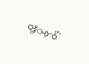 Cc1ccccc1Cc1csc(N2CCC(S(=O)(=O)c3ccccc3Cl)CC2)n1